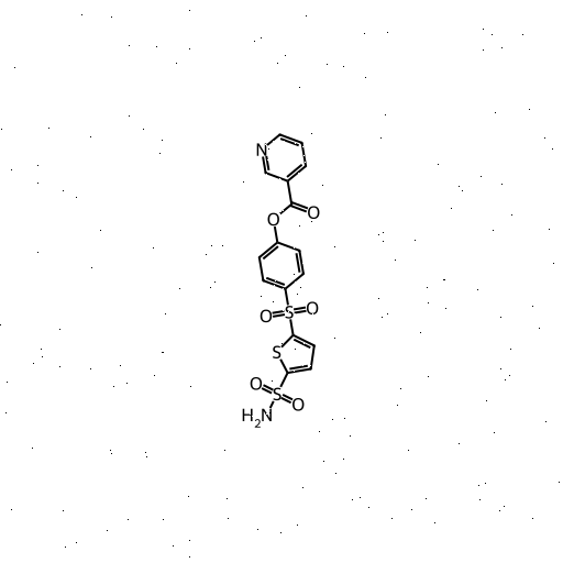 NS(=O)(=O)c1ccc(S(=O)(=O)c2ccc(OC(=O)c3cccnc3)cc2)s1